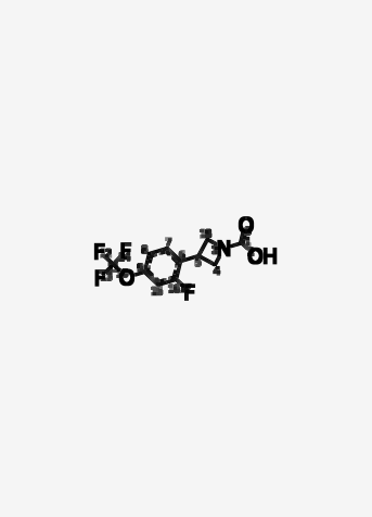 O=C(O)N1CC(c2ccc(OC(F)(F)F)cc2F)C1